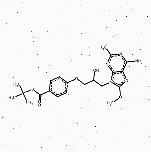 COc1nc2c(N)nc(C)nc2n1CC(O)COc1ccc(C(=O)OC(C)(C)C)cc1